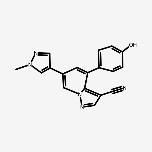 Cn1cc(-c2cc(-c3ccc(O)cc3)c3c(C#N)cnn3c2)cn1